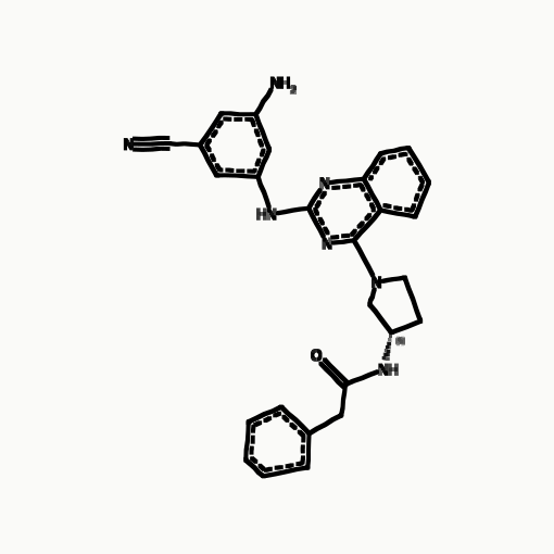 N#Cc1cc(N)cc(Nc2nc(N3CC[C@H](NC(=O)Cc4ccccc4)C3)c3ccccc3n2)c1